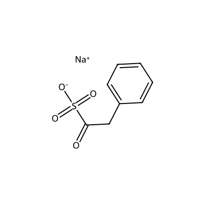 O=C(Cc1ccccc1)S(=O)(=O)[O-].[Na+]